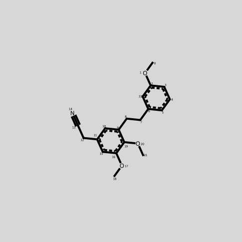 COc1cccc(CCc2cc(CC#N)cc(OC)c2OC)c1